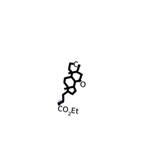 CCOC(=O)/C=C/CC1CCC2C3C(=O)CC4CCCCC4(C)C3CCC12C